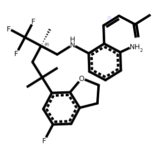 C=C(C)/C=C\c1c(N)cccc1NC[C@@](C)(CC(C)(C)c1cc(F)cc2c1OCC2)C(F)(F)F